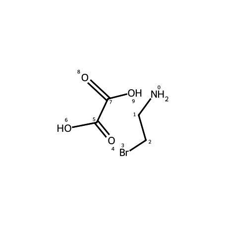 NCCBr.O=C(O)C(=O)O